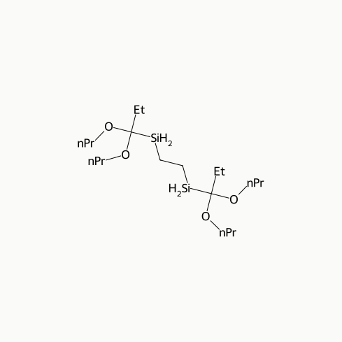 CCCOC(CC)(OCCC)[SiH2]CC[SiH2]C(CC)(OCCC)OCCC